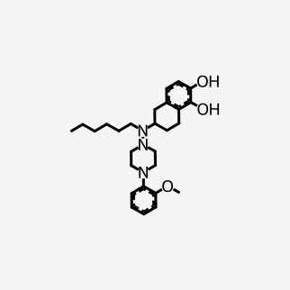 CCCCCCN(C1CCc2c(ccc(O)c2O)C1)N1CCN(c2ccccc2OC)CC1